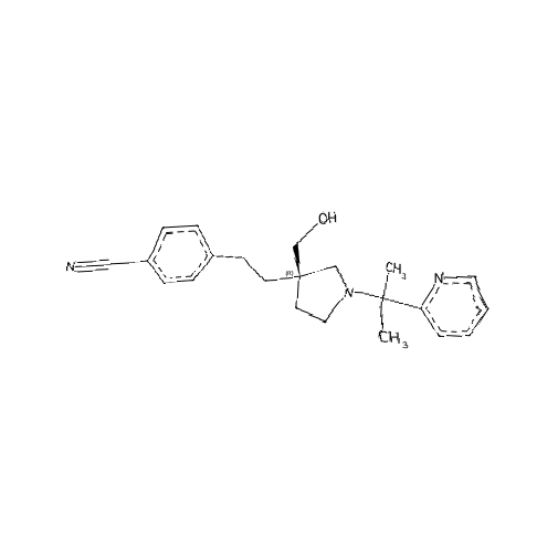 CC(C)(c1ccccn1)N1CC[C@](CO)(CCc2ccc(C#N)cc2)C1